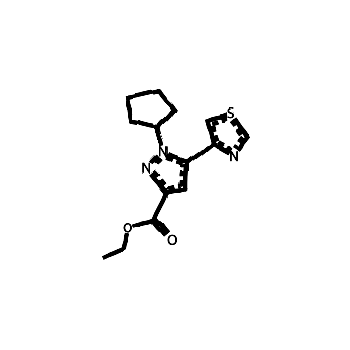 CCOC(=O)c1cc(-c2cscn2)n(C2CCCC2)n1